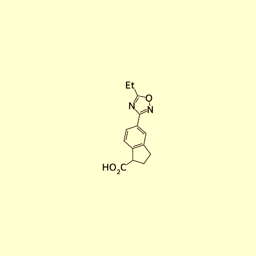 CCc1nc(-c2ccc3c(c2)CCC3C(=O)O)no1